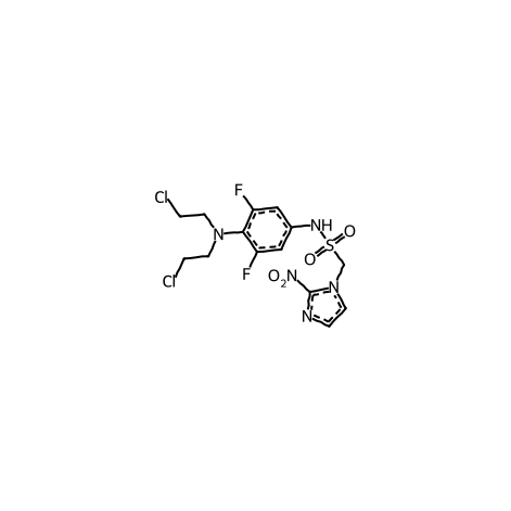 O=[N+]([O-])c1nccn1CS(=O)(=O)Nc1cc(F)c(N(CCCl)CCCl)c(F)c1